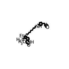 CCc1c(C)c2c3c(C(F)(F)F)cc(=O)[nH]c3ccc2n1CCCCCCCCCNCc1ccc(CN2CCOCC2)cc1